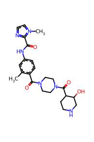 Cc1cc(NC(=O)c2nccn2C)ccc1C(=O)N1CCN(C(=O)C2CCNCC2O)CC1